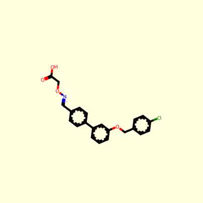 O=C(O)CO/N=C/c1ccc(-c2cccc(OCc3ccc(Cl)cc3)c2)cc1